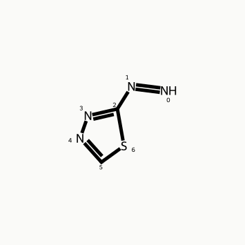 N=Nc1nncs1